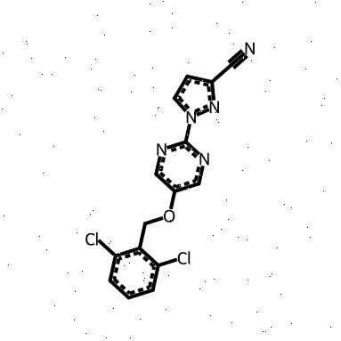 N#Cc1ccn(-c2ncc(OCc3c(Cl)cccc3Cl)cn2)n1